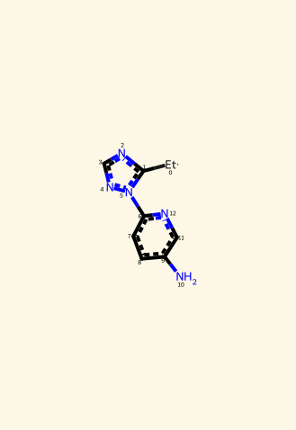 C[CH]c1ncnn1-c1ccc(N)cn1